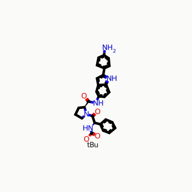 CC(C)(C)OC(=O)N[C@@H](C(=O)N1CCC[C@H]1C(=O)Nc1ccc2[nH]c(-c3ccc(N)cc3)cc2c1)c1ccccc1